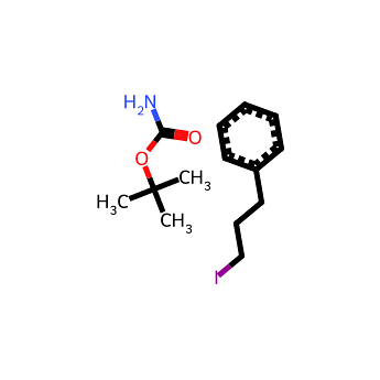 CC(C)(C)OC(N)=O.ICCCc1ccccc1